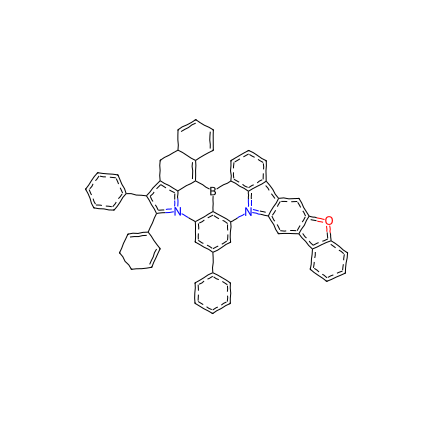 C1=CC2=C3B4c5c(cc(-c6ccccc6)cc5-n5c6cc7c(cc6c6cccc4c65)oc4ccccc47)-n4c3c(c(-c3ccccc3)c4C3=CCCC=C3)CC2C=C1